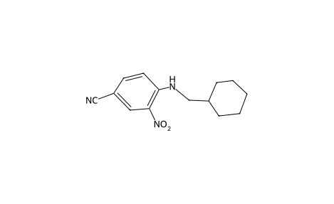 N#Cc1ccc(NCC2CCCCC2)c([N+](=O)[O-])c1